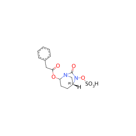 O=C(Cc1ccccc1)OC1CC[C@@H]2CN1C(=O)N2OS(=O)(=O)O